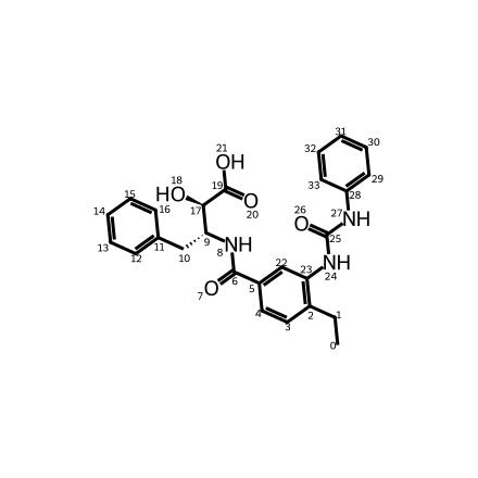 CCc1ccc(C(=O)N[C@H](Cc2ccccc2)[C@@H](O)C(=O)O)cc1NC(=O)Nc1ccccc1